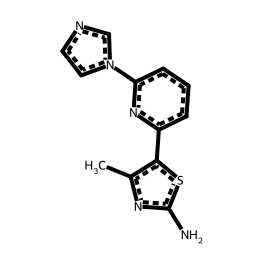 Cc1nc(N)sc1-c1cccc(-n2ccnc2)n1